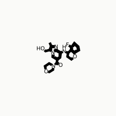 Cc1nc2c(NC3CCOc4cccc(F)c43)cc(C(=O)N3CCOCC3)cn2c1CO